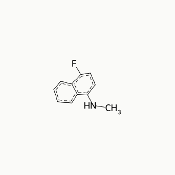 CNc1ccc(F)c2ccccc12